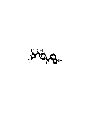 CC(c1cc(Cl)sc1Cl)N1CCN(C(=O)c2cccc3[nH]ccc23)CC1